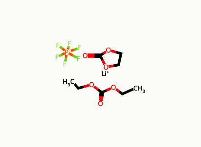 CCOC(=O)OCC.F[P-](F)(F)(F)(F)F.O=C1OCCO1.[Li+]